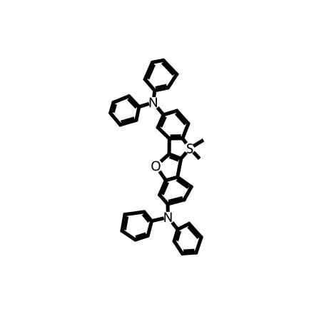 CS1(C)c2ccc(N(c3ccccc3)c3ccccc3)cc2-c2oc3cc(N(c4ccccc4)c4ccccc4)ccc3c21